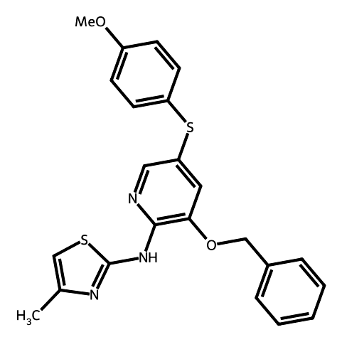 COc1ccc(Sc2cnc(Nc3nc(C)cs3)c(OCc3ccccc3)c2)cc1